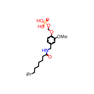 COc1cc(CNC(=O)CCCCCCC(C)C)ccc1OCOP(=O)(O)O